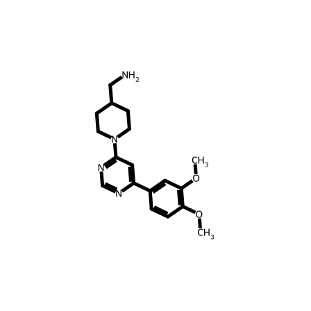 COc1ccc(-c2cc(N3CCC(CN)CC3)ncn2)cc1OC